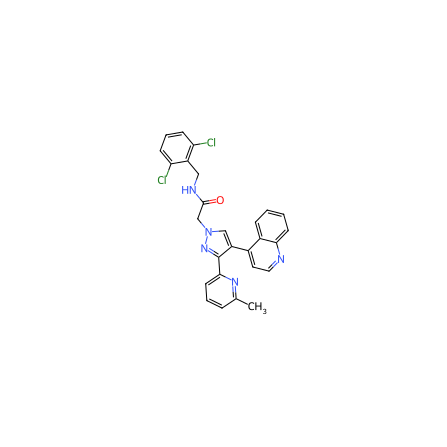 Cc1cccc(-c2nn(CC(=O)NCc3c(Cl)cccc3Cl)cc2-c2ccnc3ccccc23)n1